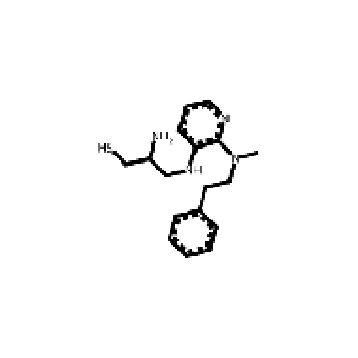 CN(CCc1ccccc1)c1ncccc1NCC(N)CS